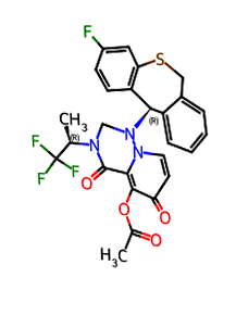 CC(=O)Oc1c2n(ccc1=O)N([C@@H]1c3ccccc3CSc3cc(F)ccc31)CN([C@H](C)C(F)(F)F)C2=O